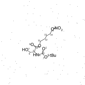 CC(C)(C)OC(=O)NC(CO)C(=O)OCCCCO[N+](=O)[O-]